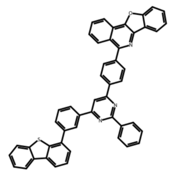 c1ccc(-c2nc(-c3ccc(-c4nc5c6ccccc6oc5c5ccccc45)cc3)cc(-c3cccc(-c4cccc5c4sc4ccccc45)c3)n2)cc1